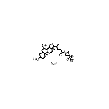 CC(CCC(=O)NCCS(=O)(=O)[O-])C1CCC2C3C(O)CC4CC(O)CCC4(C)C3CCC12C.[Na+]